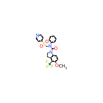 COc1ccc2c(c1C(F)(F)F)CCN2C(=O)N(CS(=O)(=O)c1ccncc1)c1ccccc1